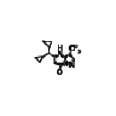 O=c1cc(C(C2CC2)C2CC2)[nH]c2c(C(F)(F)F)cnn12